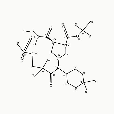 CCN(C)C(=O)[C@@H]1C[C@H](N(C(=O)C(C)(C)COS(C)(=O)=O)C2CCC(C)(C)CC2)CN1C(=O)OC(C)(C)C